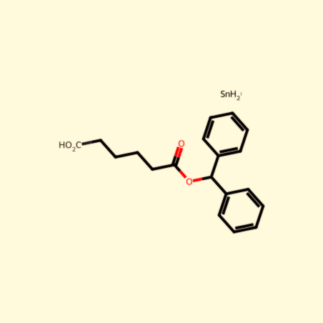 O=C(O)CCCCC(=O)OC(c1ccccc1)c1ccccc1.[SnH2]